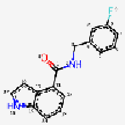 O=C(NCc1cccc(F)c1)c1cccc2[nH]ccc12